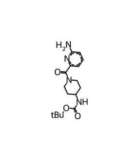 CC(C)(C)OC(=O)NC1CCN(C(=O)c2cccc(N)n2)CC1